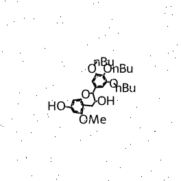 CCCCOc1cc(C2Oc3cc(O)cc(OC)c3CC2O)cc(OCCCC)c1OCCCC